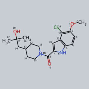 COc1ccc2[nH]c(C(=O)N3CCC(CC(C)(C)O)CC3)cc2c1Cl